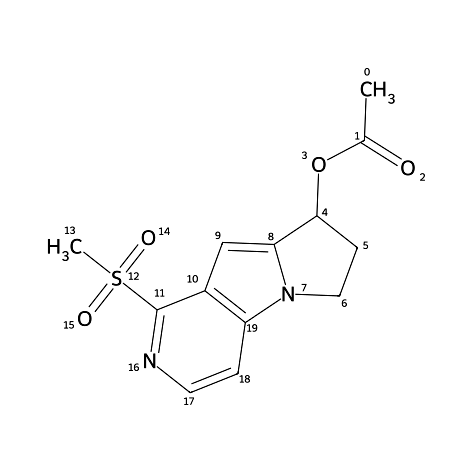 CC(=O)OC1CCn2c1cc1c(S(C)(=O)=O)nccc12